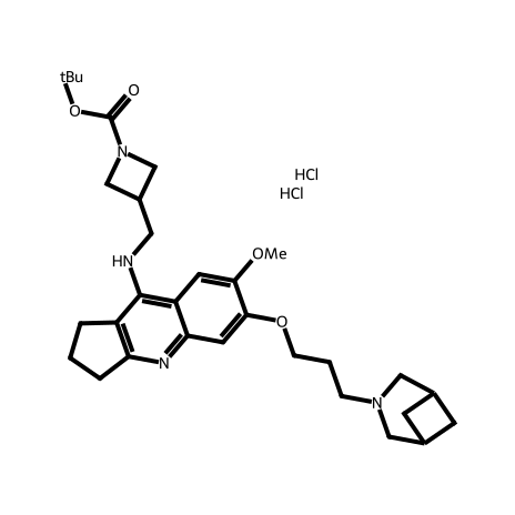 COc1cc2c(NCC3CN(C(=O)OC(C)(C)C)C3)c3c(nc2cc1OCCCN1CC2CC(C2)C1)CCC3.Cl.Cl